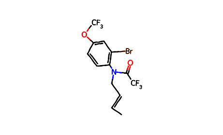 C/C=C/CN(C(=O)C(F)(F)F)c1ccc(OC(F)(F)F)cc1Br